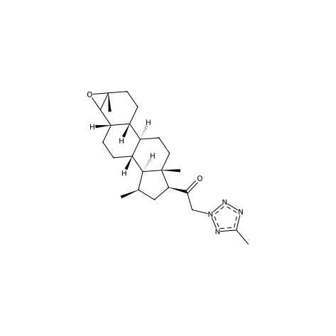 Cc1nnn(CC(=O)[C@H]2C[C@@H](C)[C@H]3[C@@H]4CC[C@@H]5C6O[C@]6(C)CC[C@@H]5[C@H]4CC[C@@]32C)n1